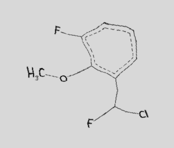 COc1c(F)cccc1C(F)Cl